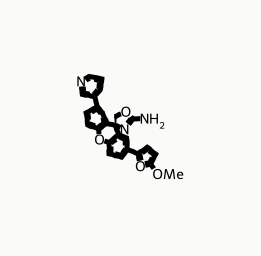 COc1ccc(-c2ccc3c(c2)[C@]2(COC(N)=N2)c2cc(-c4cccnc4)ccc2O3)o1